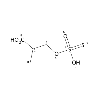 CC(COS(=O)(O)=S)C(=O)O